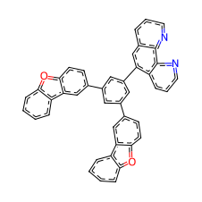 c1cnc2c(c1)cc(-c1cc(-c3ccc4oc5ccccc5c4c3)cc(-c3ccc4oc5ccccc5c4c3)c1)c1cccnc12